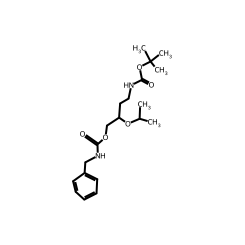 CC(C)OC(CCNC(=O)OC(C)(C)C)COC(=O)NCc1ccccc1